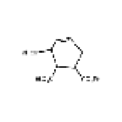 CCCCCCC1C=CCC(C(=O)OCC)C1C(=O)OCC